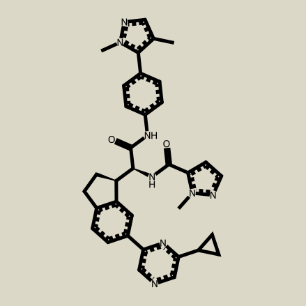 Cc1cnn(C)c1-c1ccc(NC(=O)[C@@H](NC(=O)c2ccnn2C)[C@@H]2CCc3ccc(-c4cncc(C5CC5)n4)cc32)cc1